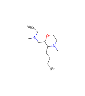 CSCN(C)CC1OCCN(C)C1CCCC(C)C